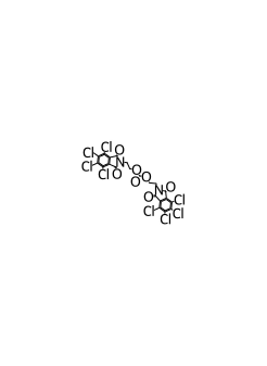 O=C(OCCN1C(=O)c2c(Cl)c(Cl)c(Cl)c(Cl)c2C1=O)OCCN1C(=O)c2c(Cl)c(Cl)c(Cl)c(Cl)c2C1=O